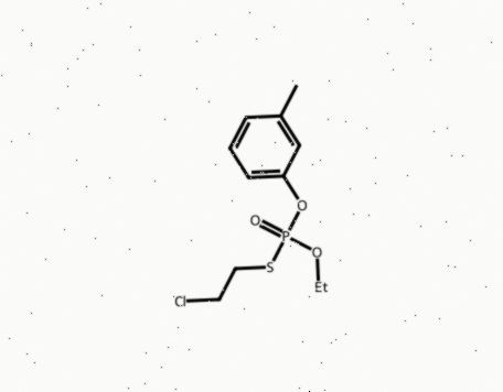 CCOP(=O)(Oc1cccc(C)c1)SCCCl